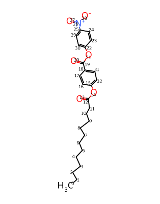 CCCCCCCCCCCCC(=O)Oc1ccc(C(=O)Oc2ccc([N+](=O)[O-])cc2)cc1